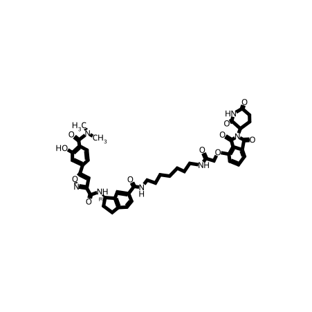 CN(C)C(=O)c1ccc(-c2cc(C(=O)N[C@@H]3CCc4ccc(C(=O)NCCCCCCCNC(=O)COc5cccc6c5C(=O)N(C5CCC(=O)NC5=O)C6=O)cc43)no2)cc1O